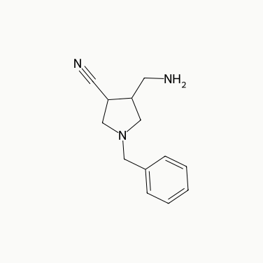 N#CC1CN(Cc2ccccc2)CC1CN